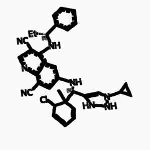 CC[C@@H](Nc1c(C#N)cnc2c(C#N)cc(N[C@H](C3=CN(C4CC4)NN3)C3(C)C=CC=CC3Cl)cc12)c1ccccc1